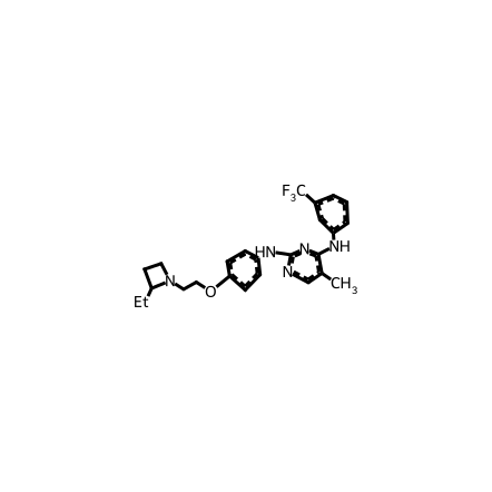 CCC1CCN1CCOc1ccc(Nc2ncc(C)c(Nc3cccc(C(F)(F)F)c3)n2)cc1